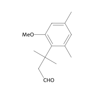 COc1cc(C)cc(C)c1C(C)(C)CC=O